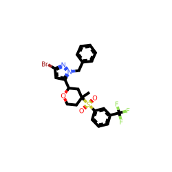 CC1(S(=O)(=O)c2cccc(C(F)(F)F)c2)CCOC(c2cc(Br)nn2Cc2ccccc2)C1